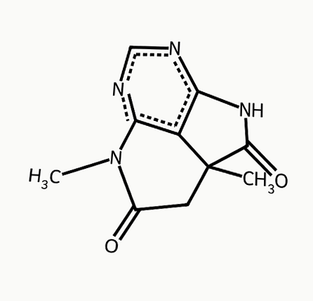 CN1C(=O)CC2(C)C(=O)Nc3ncnc1c32